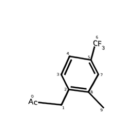 CC(=O)Cc1ccc(C(F)(F)F)cc1C